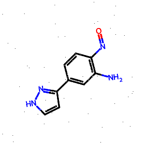 Nc1cc(-c2cc[nH]n2)ccc1N=O